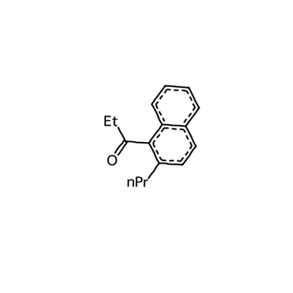 CCCc1ccc2ccccc2c1C(=O)CC